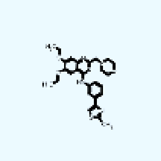 CCOc1cc2nc(CN3CCOCC3)nc(Nc3cccc(-c4csc(C)n4)c3)c2cc1OCC